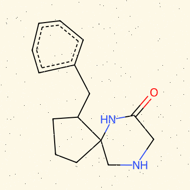 O=C1CNCC2(CCCC2Cc2ccccc2)N1